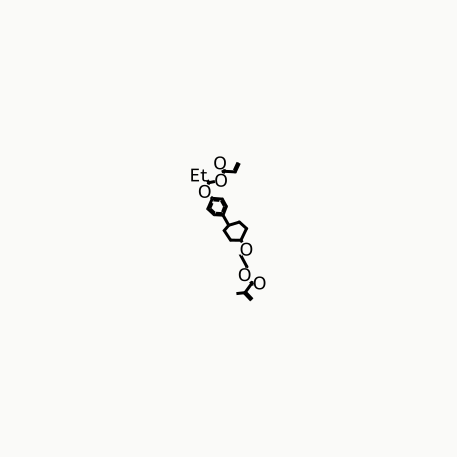 C=CC(=O)OC(CC)Oc1ccc(C2CCC(OCCOC(=O)C(=C)C)CC2)cc1